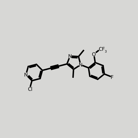 Cc1nc(C#Cc2ccnc(Cl)c2)c(C)n1-c1ccc(F)cc1OC(F)(F)F